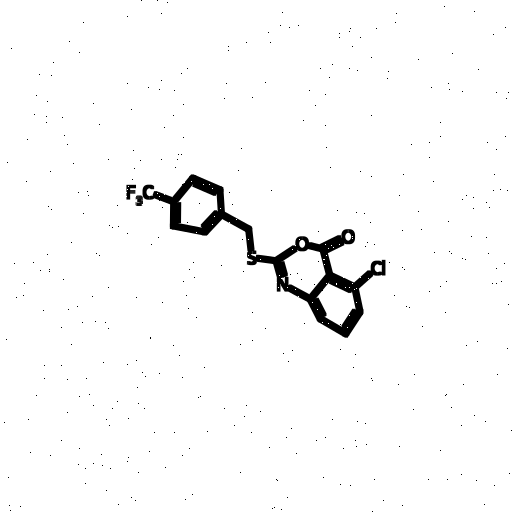 O=c1oc(SCc2ccc(C(F)(F)F)cc2)nc2cccc(Cl)c12